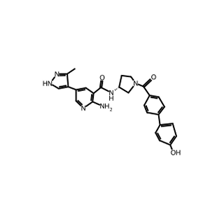 Cc1n[nH]cc1-c1cnc(N)c(C(=O)N[C@@H]2CCN(C(=O)c3ccc(-c4ccc(O)cc4)cc3)C2)c1